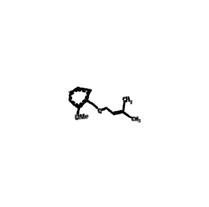 COc1c[c]ccc1OCC=C(C)C